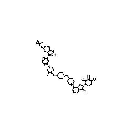 C[C@H]1CN(c2cc(-c3[nH]nc4ccc(OC5(C)CC5)cc34)ncn2)CCN1CC1CCN(CC2CCN(c3cccc4c3CN(C3CCC(=O)NC3=O)C4=O)CC2)CC1